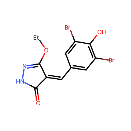 CCOC1=NNC(=O)C1=Cc1cc(Br)c(O)c(Br)c1